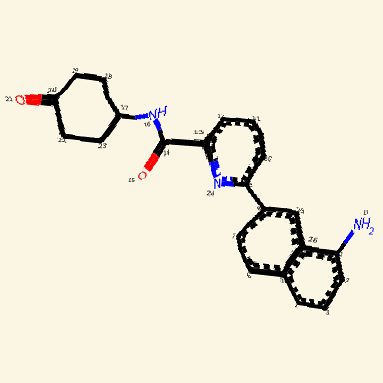 Nc1cccc2ccc(-c3cccc(C(=O)NC4CCC(=O)CC4)n3)cc12